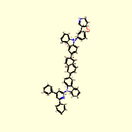 c1ccc(-c2cc(-c3ccccc3)nc(-n3c4ccccc4c4cc(-c5ccc6cc(-c7ccc8c(c7)c7ccccc7n8-c7ccc8oc9ccncc9c8c7)ccc6c5)ccc43)c2)cc1